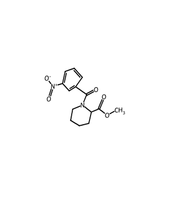 COC(=O)C1CCCCN1C(=O)c1cccc([N+](=O)[O-])c1